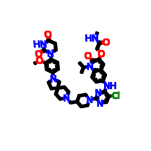 CNC(=O)COc1cc2cc(Nc3nc(N4CCC(CN5CCC6(CC5)CCN(c5ccc(N7CCC(=O)NC7=O)c(OC)c5)C6)CC4)ncc3Cl)ccc2n(C(C)C)c1=O